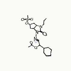 CCCN1C(=O)N(/N=C/C(OC(C)=O)C2CCCCC2)C2CC(OS(C)(=O)=O)CC21